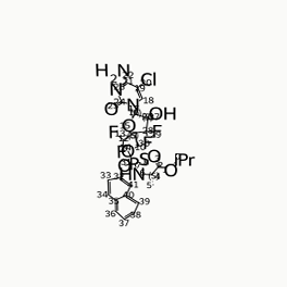 CC(C)OC(=O)[C@H](C)NP(=S)(OC[C@@]1(C(F)F)O[C@@H](n2cc(Cl)c(N)nc2=O)[C@H](O)C1(F)F)Oc1ccc2ccccc2c1